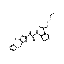 CCCCCC(=O)c1cnccc1NC(=O)Nc1nc(C[SH]2C=CC=C2)c(Cl)s1